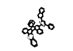 c1ccc(-c2cc(-c3ccc4ccccc4c3)nc(-c3cc4c(c5ccccc35)-c3c5c(c6ccccc6c3C43C4CC6CC(C4)CC3C6)Oc3ccccc3S5)n2)cc1